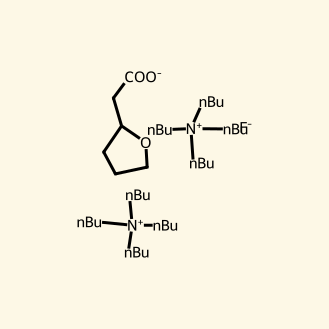 CCCC[N+](CCCC)(CCCC)CCCC.CCCC[N+](CCCC)(CCCC)CCCC.O=C([O-])CC1CCCO1.[F-]